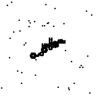 CC(C)(C)c1cc(NC(=O)Nc2ccc(OCCc3ccccc3)cc2)no1